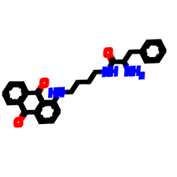 N[C@H](Cc1ccccc1)C(=O)NCCCCNc1cccc2c1C(=O)c1ccccc1C2=O